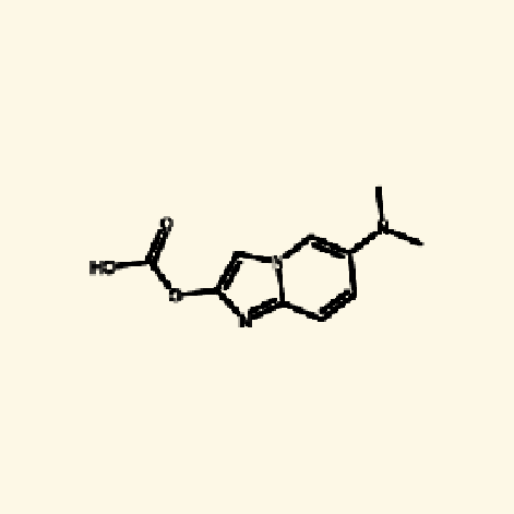 CN(C)c1ccc2nc(OC(=O)O)cn2c1